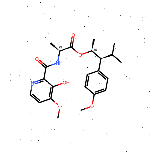 COc1ccc([C@H](C(C)C)[C@H](C)OC(=O)[C@H](C)NC(=O)c2nccc(OC)c2O)cc1